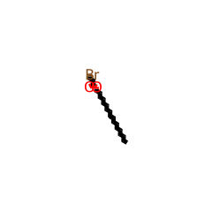 CCCCCCCCC=CCCCCCCCCOC(=O)CCBr